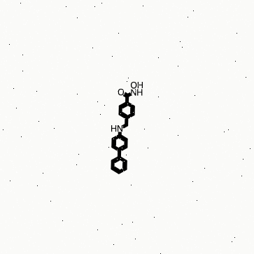 O=C(NO)c1ccc(CNc2ccc(-c3ccccc3)cc2)cc1